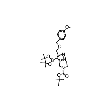 COc1ccc(COCc2nn3c(c2B2OC(C)(C)C(C)(C)O2)CN(C(=O)OC(C)(C)C)CC3)cc1